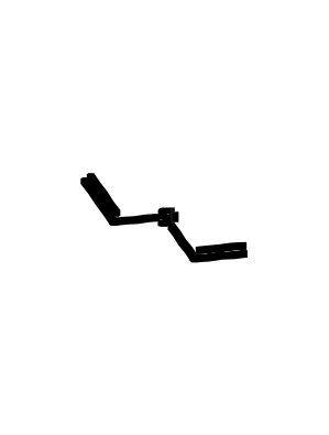 C=C[Si]C=C